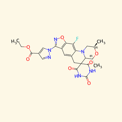 CCOC(=O)c1cnn(-c2noc3c(F)c4c(cc23)CC2(C(=O)NC(=O)NC2=O)C2[C@@H](C)O[C@H](C)CN42)c1